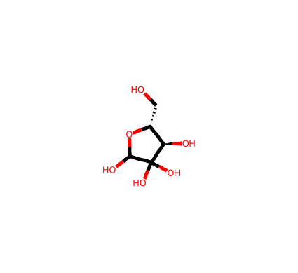 OC[C@H]1OC(O)C(O)(O)[C@@H]1O